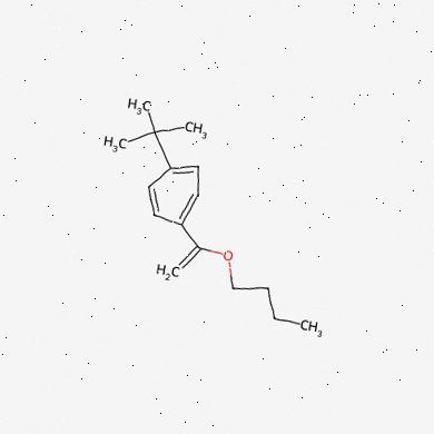 C=C(OCCCC)c1ccc(C(C)(C)C)cc1